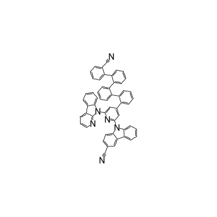 N#Cc1ccc2c(c1)c1ccccc1n2-c1cc(-c2ccccc2-c2ccccc2-c2ccccc2-c2ccccc2C#N)cc(-n2c3ccccc3c3cccnc32)n1